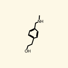 CNCc1ccc(CCO)cc1